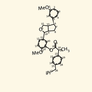 COc1cccc([C@H]2CCC3C(c4ccc(OC)c(OC(=O)C(C)c5ccc(CC(C)C)cc5)c4)OCC32)c1